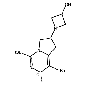 C[C@@H]1N=C(C(C)(C)C)N2CC(N3CC(O)C3)CC2=C1C(C)(C)C